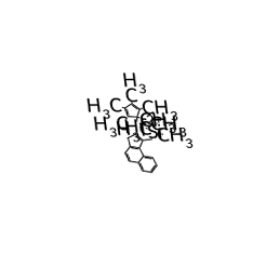 CC1=C(C)[C](C)([Hf+2][C]2=C(C[Si](C)(C)C)c3c(ccc4ccccc34)C2)C(C)=C1C